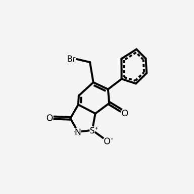 O=C1[N][S+]([O-])C2C(=O)C(c3ccccc3)=C(CBr)C=C12